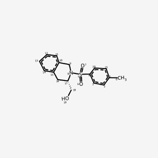 Cc1ccc(S(=O)(=O)N2Cc3ccccc3C[C@H]2CO)cc1